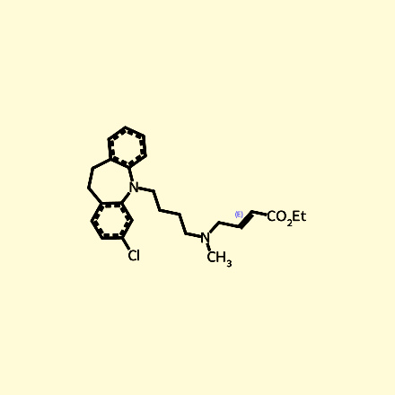 CCOC(=O)/C=C/CN(C)CCCCN1c2ccccc2CCc2ccc(Cl)cc21